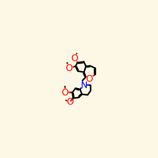 COc1cc2c(cc1OC)N(CC1=c3cc(OC)c(OC)cc3=CC=CO1)CCC2